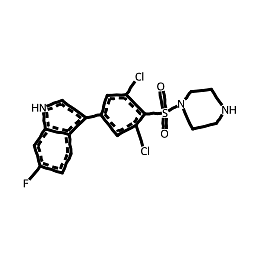 O=S(=O)(c1c(Cl)cc(-c2c[nH]c3cc(F)ccc23)cc1Cl)N1CCNCC1